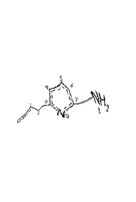 C=CCc1cccc(N)n1